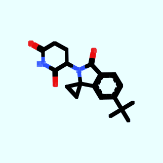 CC(C)(C)c1ccc2c(c1)C1(CC1)N(C1CCC(=O)NC1=O)C2=O